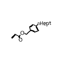 C=CC(=O)OCc1ccc(CCCCCCC)cc1